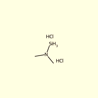 CN(C)[SiH3].Cl.Cl